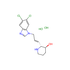 Cl.Cl.O[C@H]1CCCN[C@@H]1/C=C/Cn1cnc2cc(Cl)c(Cl)cc21